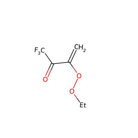 C=C(OOCC)C(=O)C(F)(F)F